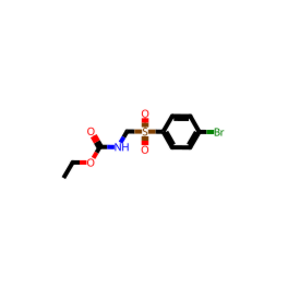 CCOC(=O)NCS(=O)(=O)c1ccc(Br)cc1